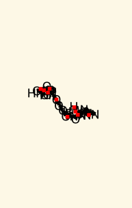 CC(OCCOCCOCCOCCNc1cccc2c1C(=O)N(C1CCC(=O)NC1=O)C2=O)C(F)CNC(=O)c1cnc(-n2ncc3cc(C#N)cnc32)cc1NC1CC1